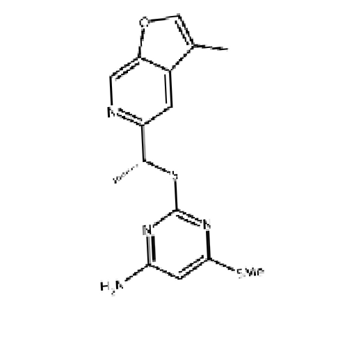 CSc1cc(N)nc(S[C@H](C)c2cc3c(C)coc3cn2)n1